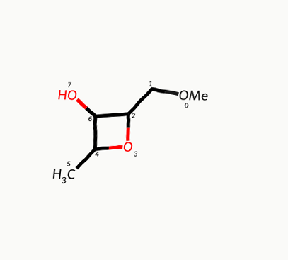 COCC1OC(C)C1O